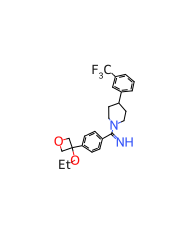 CCOC1(c2ccc(C(=N)N3CCC(c4cccc(C(F)(F)F)c4)CC3)cc2)COC1